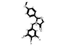 CSc1ccc(C2SCC(=O)N2Cc2cc(F)c(F)c(F)c2)cc1